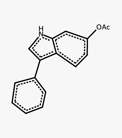 CC(=O)Oc1ccc2c(-c3ccccc3)c[nH]c2c1